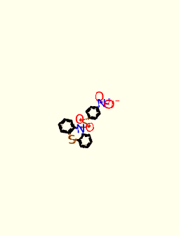 O=[N+]([O-])c1ccc(S(=O)(=O)N2c3ccccc3Sc3ccccc32)cc1